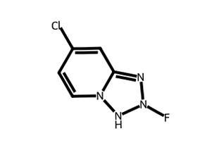 FN1N=C2C=C(Cl)C=CN2N1